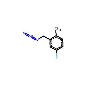 Cc1ccc(F)cc1CN=[N+]=[N-]